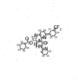 O=C(O[C@@H]1CN2C[C@@H]1N(C(=O)Nc1ccccn1)c1nc(-c3cccc(C(F)(F)F)c3)ccc12)c1ccccc1